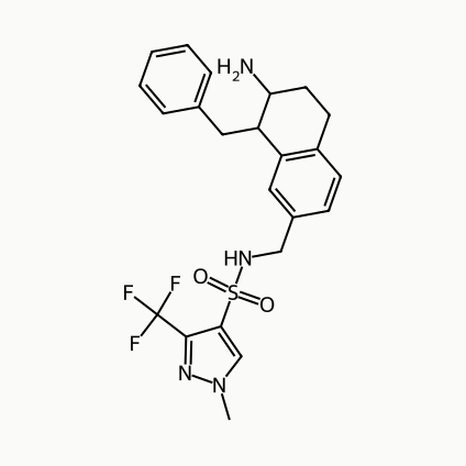 Cn1cc(S(=O)(=O)NCc2ccc3c(c2)C(Cc2ccccc2)C(N)CC3)c(C(F)(F)F)n1